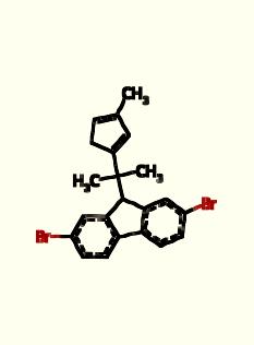 CC1=CCC(C(C)(C)C2c3cc(Br)ccc3-c3ccc(Br)cc32)=C1